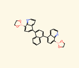 c1ccc2c(-c3ccc(B4OCCO4)c4ncccc34)ccc(-c3ccc(B4OCCO4)c4ncccc34)c2c1